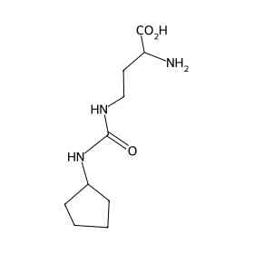 NC(CCNC(=O)NC1CCCC1)C(=O)O